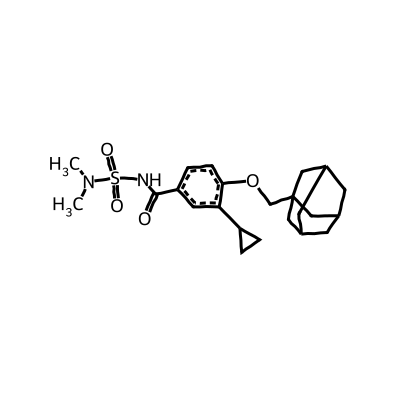 CN(C)S(=O)(=O)NC(=O)c1ccc(OCC23CC4CC(CC(C4)C2)C3)c(C2CC2)c1